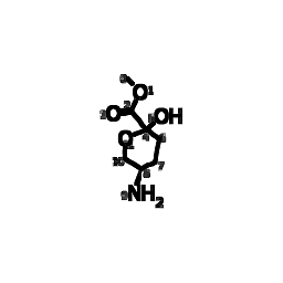 COC(=O)C1(O)CC[C@@H](N)CO1